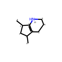 CC1CC(C)C2=C1CCCN2